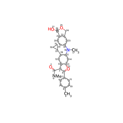 CNC(=O)c1c(-c2ccc(C)cc2)oc2cc(N(C)c3ccc4c(c3)COB4O)c(C3CC3)cc12